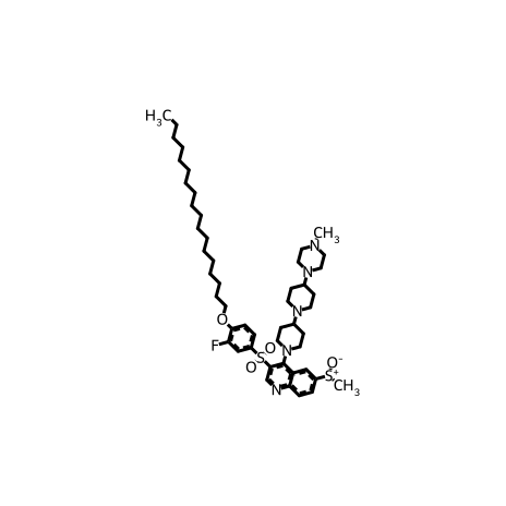 CCCCCCCCCCCCCCCCCCOc1ccc(S(=O)(=O)c2cnc3ccc([S+](C)[O-])cc3c2N2CCC(N3CCC(N4CCN(C)CC4)CC3)CC2)cc1F